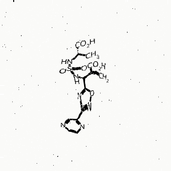 C=C(C(=O)O)[C@H](NS(=O)(=O)N[C@@H](C)C(=O)O)c1nc(-c2cnccn2)no1